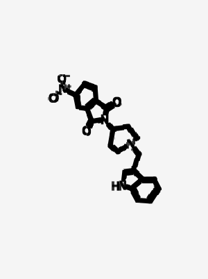 O=C1c2ccc([N+](=O)[O-])cc2C(=O)N1C1CCN(Cc2c[nH]c3ccccc23)CC1